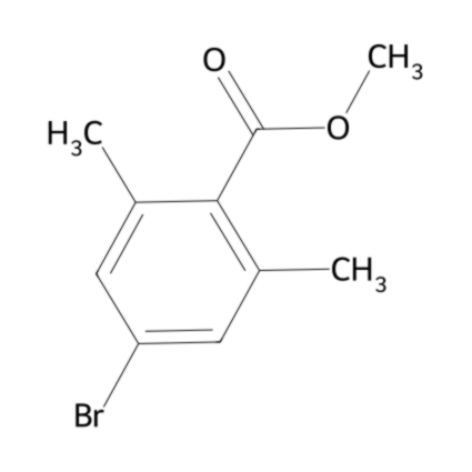 COC(=O)c1c(C)cc(Br)cc1C